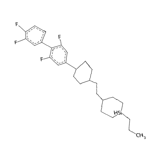 CCC[SiH]1CCC(CCC2CCC(c3cc(F)c(-c4ccc(F)c(F)c4)c(F)c3)CC2)CC1